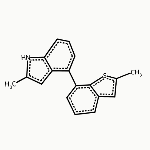 Cc1cc2c(-c3cccc4cc(C)sc34)cccc2[nH]1